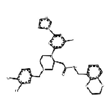 Cc1cc(N2CCN(Cc3ccc(Cl)c(Cl)c3)CC2CC(=O)NCc2cccc3c2OCCO3)nc(-n2ccnc2)n1